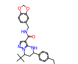 CCc1ccc(C2CC(C(C)(C)C)n3ncc(C(=O)NCc4ccc5c(c4)OCO5)c3N2)cc1